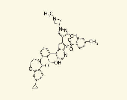 Cc1ccc(S(=O)(=O)n2c(-c3cn(C4CN(C)C4)nc3C)cc3c(-c4cccc(N5CCOc6cc(C7CC7)ccc6C5=O)c4CO)ccnc32)cc1